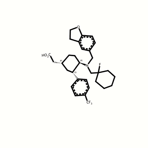 O=C(O)C[C@@H]1CC[C@@H](N(Cc2ccc3c(c2)CCO3)CC2(F)CCCCC2)[C@H](c2ccc(C(F)(F)F)cc2)C1